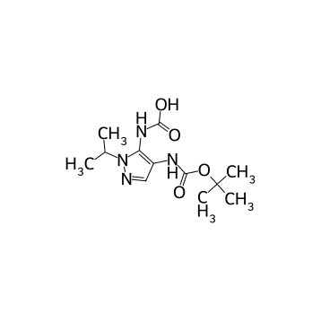 CC(C)n1ncc(NC(=O)OC(C)(C)C)c1NC(=O)O